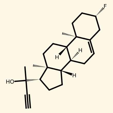 C#CC(C)(O)[C@H]1CC[C@H]2[C@@H]3CC=C4C[C@@H](F)CC[C@]4(C)[C@H]3CC[C@]12C